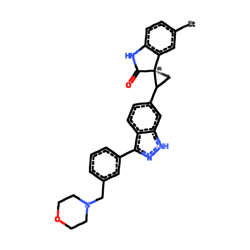 CCc1ccc2c(c1)[C@]1(CC1c1ccc3c(-c4cccc(CN5CCOCC5)c4)n[nH]c3c1)C(=O)N2